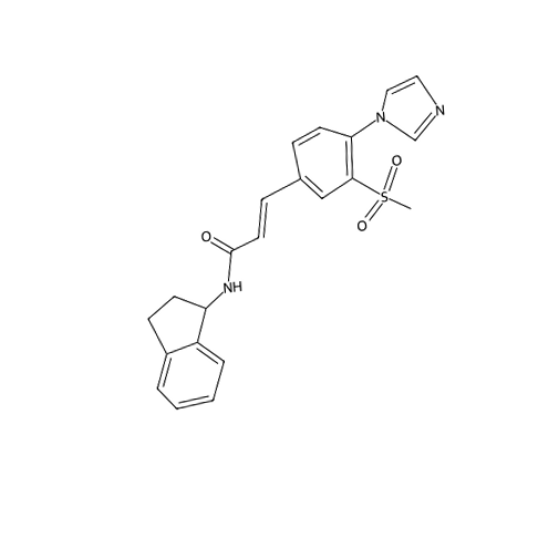 CS(=O)(=O)c1cc(/C=C/C(=O)NC2CCc3ccccc32)ccc1-n1ccnc1